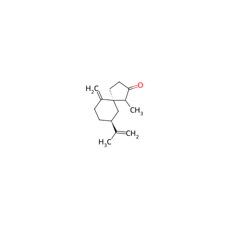 C=C(C)[C@H]1CCC(=C)[C@]2(CCC(=O)C2C)C1